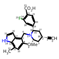 C#C[C@@H]1CCN(Cc2c(OC)cc(C)c3[nH]ccc23)[C@H](c2ccc(C(=O)O)c(F)c2)C1